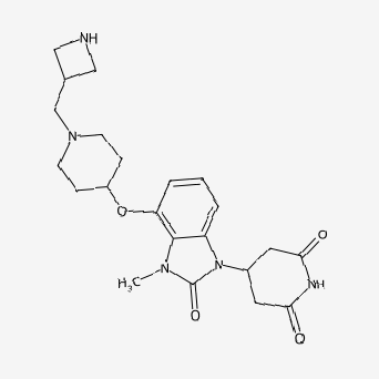 Cn1c(=O)n(C2CC(=O)NC(=O)C2)c2cccc(OC3CCN(CC4CNC4)CC3)c21